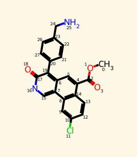 COC(=O)c1cc2c(c3cc(Cl)ccc13)=C[N]C(=O)C=2c1ccc(CN)cc1